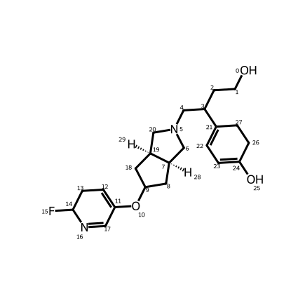 OCCC(CN1C[C@H]2CC(OC3=CCC(F)N=C3)C[C@H]2C1)C1=CC=C(O)CC1